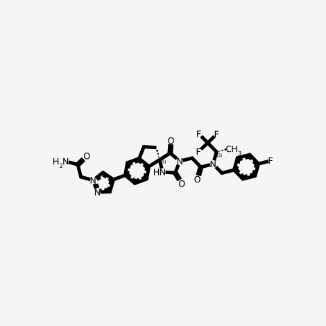 C[C@H](N(Cc1ccc(F)cc1)C(=O)CN1C(=O)N[C@]2(CCc3cc(-c4cnn(CC(N)=O)c4)ccc32)C1=O)C(F)(F)F